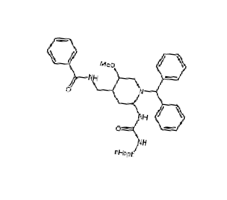 CCCCCCCNC(=O)NC1CC(CNC(=O)c2ccccc2)C(OC)CN1C(c1ccccc1)c1ccccc1